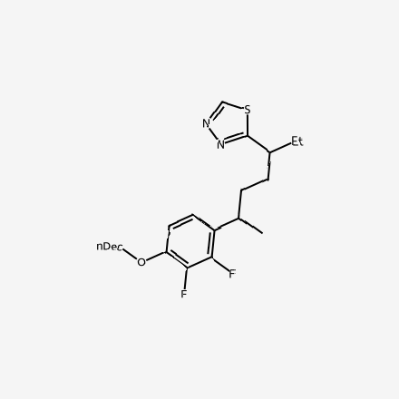 CCCCCCCCCCOc1ccc(C(C)CCC(CC)c2nncs2)c(F)c1F